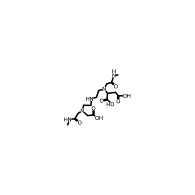 CNC(=O)CN(CCNCCN(CC(=O)NC)C(CC(=O)O)C(=O)O)CC(=O)O